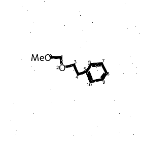 COCOCCc1[c]cccc1